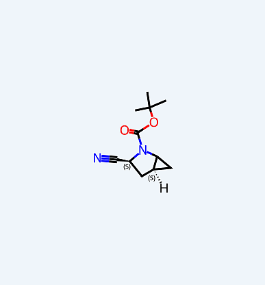 CC(C)(C)OC(=O)N1C2C[C@H]2C[C@H]1C#N